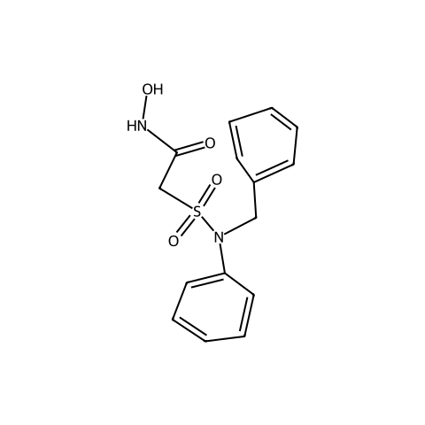 O=C(CS(=O)(=O)N(Cc1ccccc1)c1ccccc1)NO